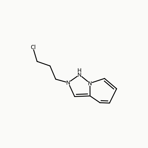 ClCCCN1C=C2C=CC=CN2N1